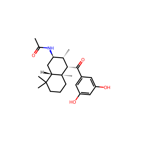 CC(=O)N[C@@H]1C[C@H]2C(C)(C)CCC[C@]2(C)[C@@H](C(=O)c2cc(O)cc(O)c2)[C@H]1C